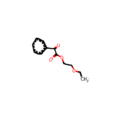 [CH2]COCCOC(=O)C(=O)c1ccccc1